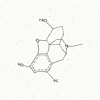 CC(=O)c1cc(O)c2c3c1CC1C4CCC(O)C(O2)C34CCN1C